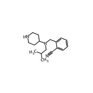 CC(C)CN(Cc1ccccc1C#N)C1CCNCC1